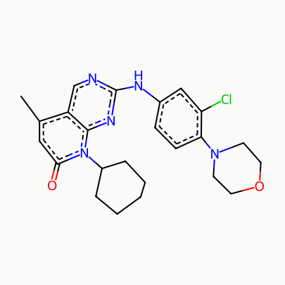 Cc1cc(=O)n(C2CCCCC2)c2nc(Nc3ccc(N4CCOCC4)c(Cl)c3)ncc12